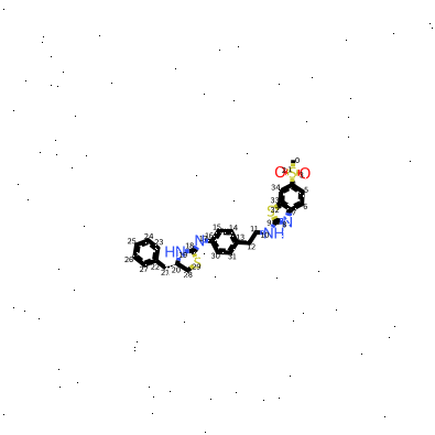 CS(=O)(=O)c1ccc2nc(NCCc3ccc(/N=C4/N[C@@H](Cc5ccccc5)CS4)cc3)sc2c1